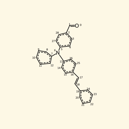 O=Cc1ccc(N(c2ccccc2)c2ccc(C=Cc3ccccc3)cc2)cc1